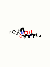 CCCCC(C)/C=C(\C)[C@H](O)[C@H](C)C(=O)N1CCC[C@H]1C(=O)O